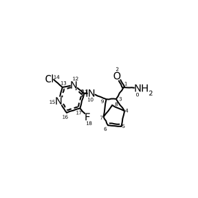 NC(=O)C1C2C=CC(C2)C1Nc1nc(Cl)ncc1F